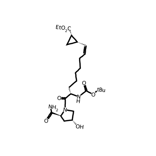 CCOC(=O)[C@H]1C[C@H]1/C=C\CCCCC[C@H](NC(=O)OC(C)(C)C)C(=O)N1C[C@H](O)C[C@H]1C(N)=O